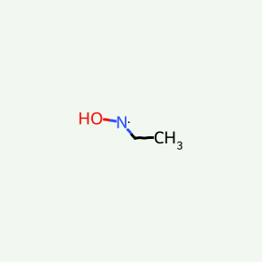 CC[N]O